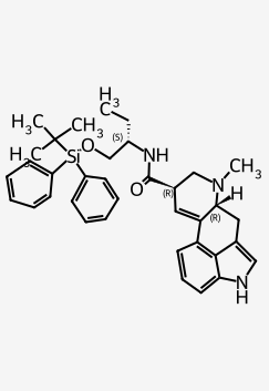 CC[C@@H](CO[Si](c1ccccc1)(c1ccccc1)C(C)(C)C)NC(=O)[C@@H]1C=C2c3cccc4[nH]cc(c34)C[C@H]2N(C)C1